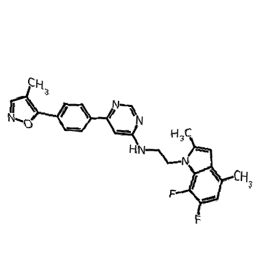 Cc1cnoc1-c1ccc(-c2cc(NCCn3c(C)cc4c(C)cc(F)c(F)c43)ncn2)cc1